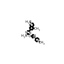 Cc1cc(-c2cnc(N)c(Oc3cnn(C4CCN(C)CC4)c3)n2)cc2c1CCN(C)C2